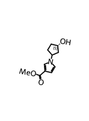 COC(=O)c1ccn(C2CC[C@H](O)C2)c1